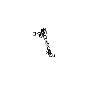 CCc1nccn1C[C@@]1(c2ccc(Cl)cc2Cl)OC[C@@H](COc2ccc(N3CCN(c4ccc(-n5cnn(C(C)CC)c5=O)cc4)CC3)cc2)O1